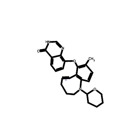 Cc1ccc2c(c1Oc1cccc3c(=O)[nH]cnc13)/C=C/CCCN2C1CCCCO1